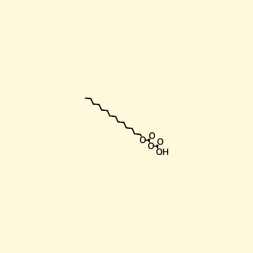 CCCCCCCCCCCCCCOC(=O)OC(=O)O